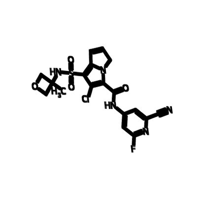 CC1(NS(=O)(=O)c2c(Cl)c(C(=O)Nc3cc(F)nc(C#N)c3)n3c2C=CC3)COC1